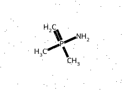 C=P(C)(C)N